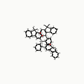 CC1(C)C2=C(c3ccccc31)C(c1ccccc1N(c1ccc3c(c1)-c1ccccc1C3(C)C)c1ccccc1-c1ccc3sc4ccccc4c3c1)CC=C2